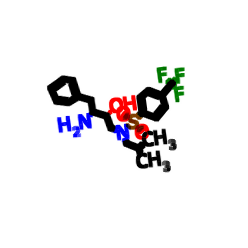 CC(C)CN(C[C@@H](O)[C@@H](N)Cc1ccccc1)S(=O)(=O)c1ccc(C(F)(F)F)cc1